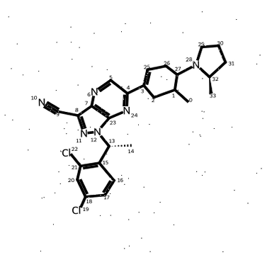 CC1CC(c2cnc3c(C#N)nn([C@H](C)c4ccc(Cl)cc4Cl)c3n2)=CCC1N1CCC[C@H]1C